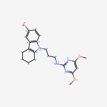 COc1cc(OC)nc(NCCCn2c3c(c4cc(Br)ccc42)CCCC3)n1